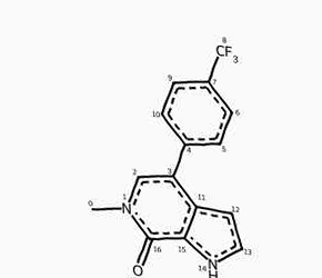 Cn1cc(-c2ccc(C(F)(F)F)cc2)c2cc[nH]c2c1=O